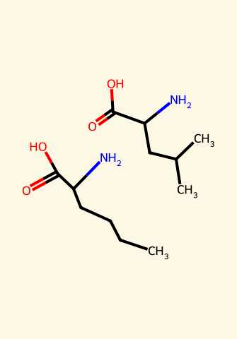 CC(C)CC(N)C(=O)O.CCCCC(N)C(=O)O